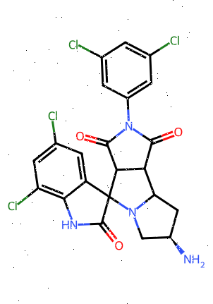 N[C@@H]1CC2C3C(=O)N(c4cc(Cl)cc(Cl)c4)C(=O)C3C3(C(=O)Nc4c(Cl)cc(Cl)cc43)N2C1